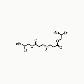 CCCCC(CC)COC(=O)C[CH2][Sn](=[S])[CH2]CC(=O)OCC(CC)CCCC